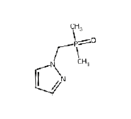 CP(C)(=O)Cn1cc[c]n1